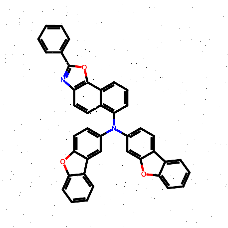 c1ccc(-c2nc3ccc4c(N(c5ccc6c(c5)oc5ccccc56)c5ccc6oc7ccccc7c6c5)cccc4c3o2)cc1